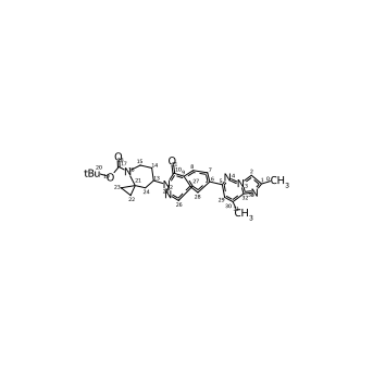 Cc1cn2nc(-c3ccc4c(=O)n(C5CCN(C(=O)OC(C)(C)C)C6(CC6)C5)ncc4c3)cc(C)c2n1